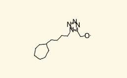 [O]Cc1nnnn1CCCCC1CCCCCC1